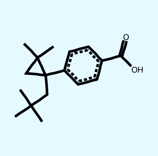 CC(C)(C)CC1(c2ccc(C(=O)O)cc2)CC1(C)C